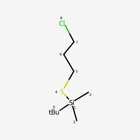 CC(C)(C)[Si](C)(C)SCCCCl